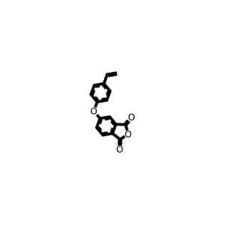 C=Cc1ccc(Oc2ccc3c(c2)C(=O)OC3=O)cc1